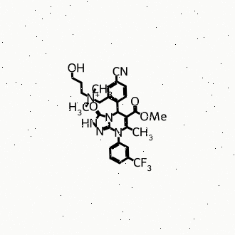 COC(=O)C1=C(C)N(c2cccc(C(F)(F)F)c2)c2n[nH]c(=O)n2C1c1ccc(C#N)cc1C[N+](C)(C)CCCO